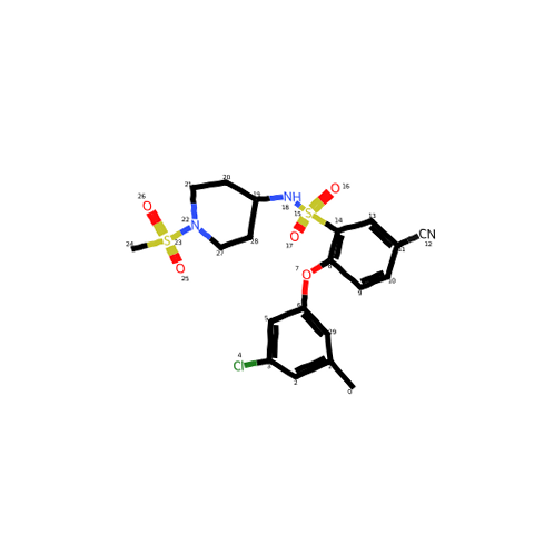 Cc1cc(Cl)cc(Oc2ccc(C#N)cc2S(=O)(=O)NC2CCN(S(C)(=O)=O)CC2)c1